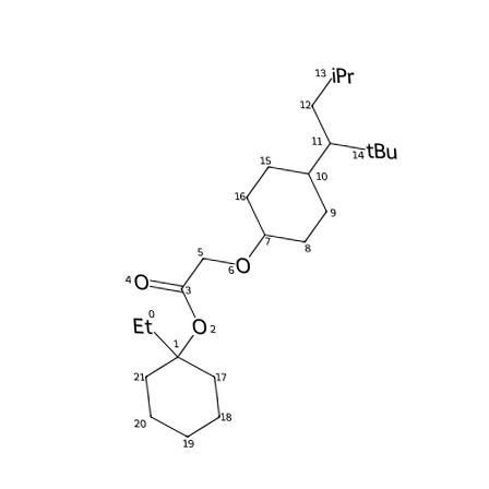 CCC1(OC(=O)COC2CCC(C(CC(C)C)C(C)(C)C)CC2)CCCCC1